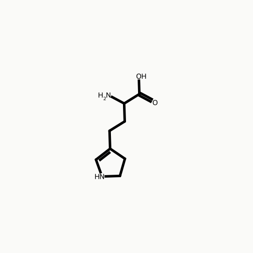 NC(CCC1=CNCC1)C(=O)O